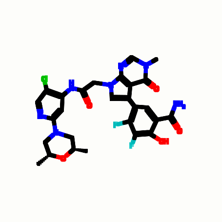 C[C@@H]1CN(c2cc(NC(=O)Cn3cc(-c4cc(C(N)=O)c(O)c(F)c4F)c4c(=O)n(C)cnc43)c(Cl)cn2)C[C@H](C)O1